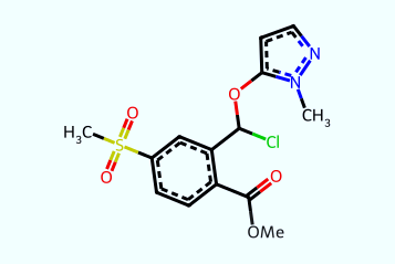 COC(=O)c1ccc(S(C)(=O)=O)cc1C(Cl)Oc1ccnn1C